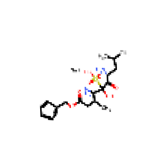 CC(C)C[C@@H](N)C(=O)C(O)(C(N)C(C)CC(=O)OCc1ccccc1)S(=O)(=O)O.[NaH]